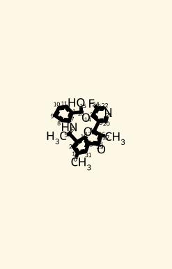 Cc1cc(C(C)Nc2ccccc2C(=O)O)c2oc(-c3cncc(F)c3)c(C)c(=O)c2c1